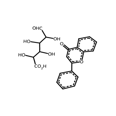 O=CC(O)C(O)C(O)C(O)C(=O)O.O=c1cc(-c2ccccc2)oc2ccccc12